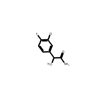 CC(C(N)=O)c1ccc(F)c(Cl)c1